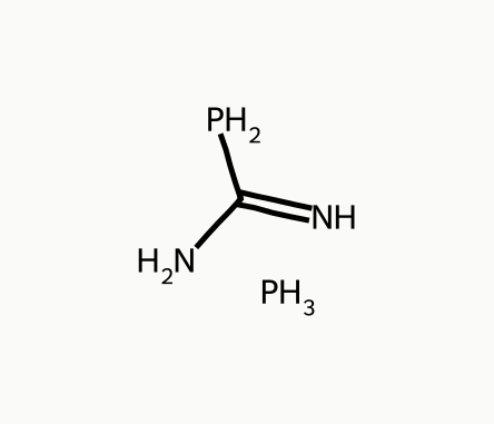 N=C(N)P.P